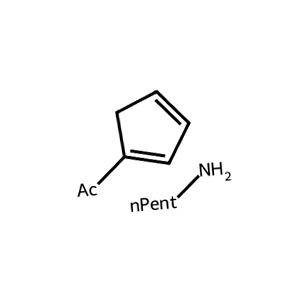 CC(=O)C1=CC=CC1.CCCCCN